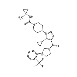 CC1(NC(=O)N2CCC(n3ncc(C(=O)N4CC[C@@H](c5ccccc5C(F)(F)F)C4)c3C3CC3)CC2)CC1